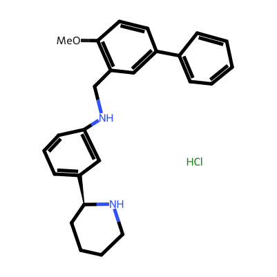 COc1ccc(-c2ccccc2)cc1CNc1cccc([C@@H]2CCCCN2)c1.Cl